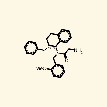 COc1ccccc1CN(C(=O)CN)[C@@H]1c2ccccc2CC[C@H]1Cc1ccccc1